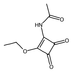 CCOc1c(NC(C)=O)c(=O)c1=O